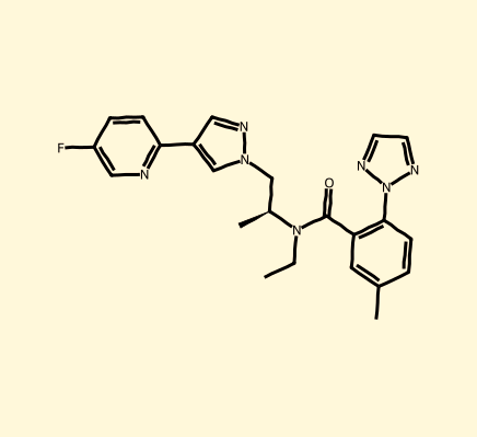 CCN(C(=O)c1cc(C)ccc1-n1nccn1)[C@@H](C)Cn1cc(-c2ccc(F)cn2)cn1